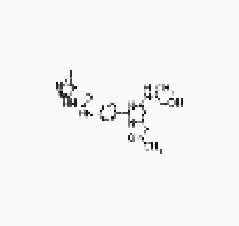 C[C@@H](CO)Nc1cc(C[S+](C)[O-])nc(-c2ccc(NC(=O)Nc3cn[nH]c3)cc2)n1